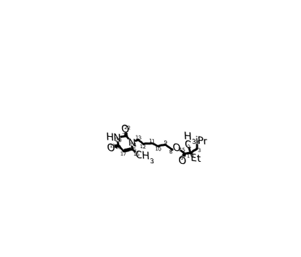 CCC(C)(CC(C)C)C(=O)OCCCCCCn1c(C)cc(=O)[nH]c1=O